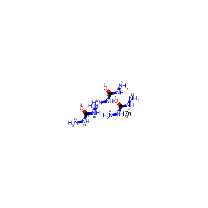 NNC(=O)NN.NNC(=O)NN.NNC(=O)NN.[Zn]